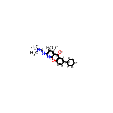 CN(C)C=Nc1nc2oc3ccc(C4CCCCC4)cc3c(=O)c2cc1C(=O)O